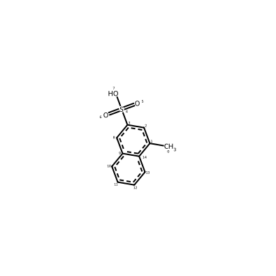 Cc1cc(S(=O)(=O)O)[c]c2ccccc12